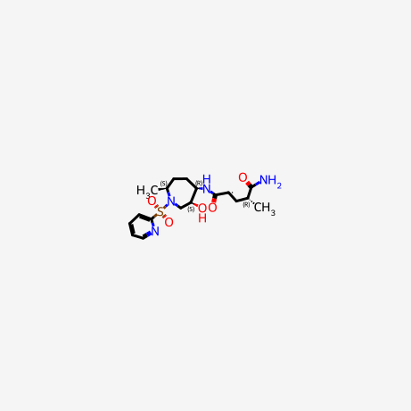 C[C@H](C[CH]C(=O)N[C@@H]1CC[C@H](C)N(S(=O)(=O)c2ccccn2)C[C@@H]1O)C(N)=O